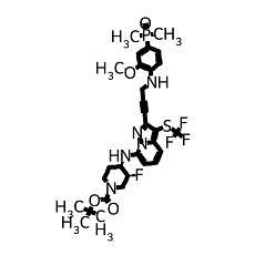 COc1cc(P(C)(C)=O)ccc1NCC#Cc1nn2c(N[C@@H]3CCN(C(=O)OC(C)(C)C)C[C@@H]3F)cccc2c1SC(F)(F)F